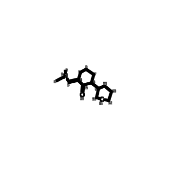 CN(C)/C=C1\CCCC(C2CCCCC2)C1=O